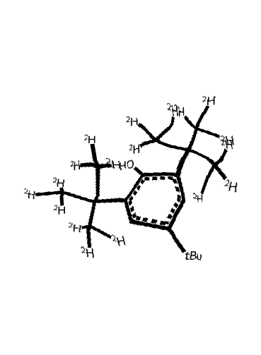 [2H]C([2H])([2H])C(c1cc(C(C)(C)C)cc(C(C([2H])([2H])[2H])(C([2H])([2H])[2H])C([2H])([2H])[2H])c1O)(C([2H])([2H])[2H])C([2H])([2H])[2H]